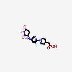 O=C(O)CC1CCN(c2ncc(NC3CCC(=O)NC3=O)cc2F)CC1